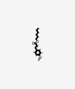 CCCCCCOC(=O)/C=C/c1ccc(OC)cc1